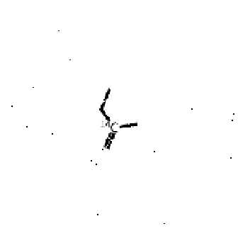 C=[14C](C)CC